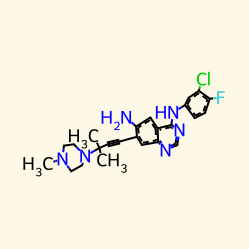 CN1CCN(C(C)(C)C#Cc2cc3ncnc(Nc4ccc(F)c(Cl)c4)c3cc2N)CC1